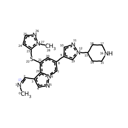 C/N=C\c1cnn2cc(-c3cnn(C4CCNCC4)c3)cc(Sc3ccnn3C)c12